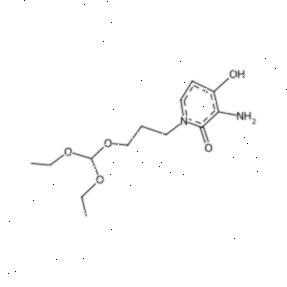 CCOC(OCC)OCCCn1ccc(O)c(N)c1=O